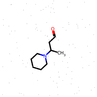 CC(CC=O)N1CCCCC1